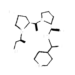 CCC(=O)N1C[C@H](O)C[C@H]1C(=O)N1CCC[C@@H]1C(=O)NC(C)C1CCNCC1